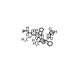 CCC[C@H](NC(=O)C1[C@H]2CCCC2CN1C(=O)[C@@H](NC(=O)[C@@H](NC(=O)c1cc(=O)[nH]o1)C1CCCCC1)C(C)(C)C)C(=O)C(=O)NC1CC1